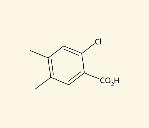 Cc1cc(Cl)c(C(=O)O)cc1C